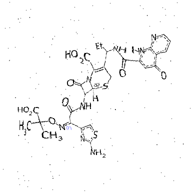 CCC(NC(=O)c1cc(=O)c2cccnc2[nH]1)C1=C(C(=O)O)N2C(=O)C(NC(=O)/C(=N\OC(C)(C)C(=O)O)c3csc(N)n3)[C@@H]2SC1